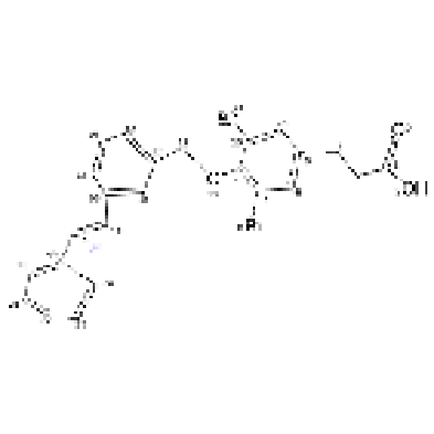 O=C(O)CCc1cc(Br)c(OCc2cccc(/C=C/c3ccccc3)c2)c(Br)c1